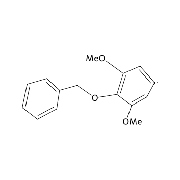 COc1c[c]cc(OC)c1OCc1ccccc1